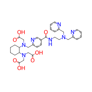 O=C(O)CN(CC(=O)O)C1CCCCC1N(CC(=O)O)Cc1ccc(C(=O)NCCN(Cc2ccccn2)Cc2ccccn2)cn1